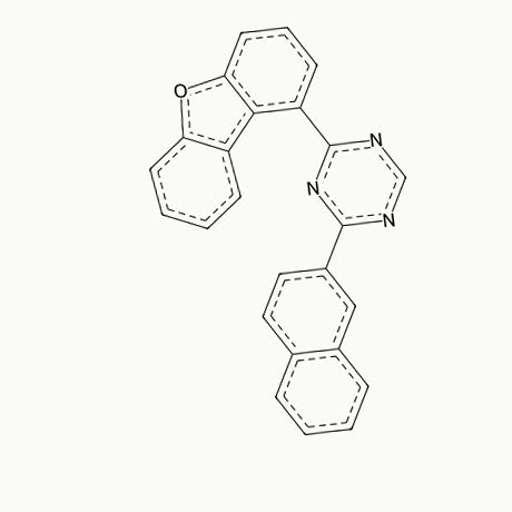 c1ccc2cc(-c3ncnc(-c4cccc5oc6ccccc6c45)n3)ccc2c1